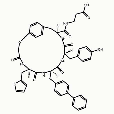 O=C(O)CCNC(=O)[C@@H]1Cc2ccc(cc2)OCC(=O)N[C@@H](Cc2cccs2)C(=O)N[C@H](Cc2ccc(-c3ccccc3)cc2)C(=O)N[C@@H](Cc2ccc(O)cc2)C(=O)N1